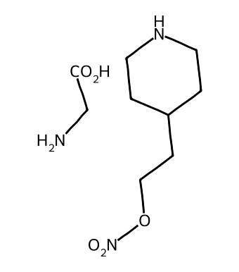 NCC(=O)O.O=[N+]([O-])OCCC1CCNCC1